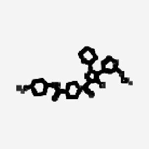 COc1cc(-c2c(Cl)c(C(=O)N3CCC(C(=O)NC4CCC(C)CC4)CC3)nn2C2CCCCO2)ccn1